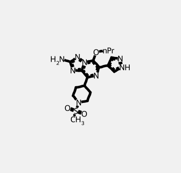 CCCOc1c(-c2cn[nH]c2)nc(C2CCN(S(C)(=O)=O)CC2)c2nc(N)nn12